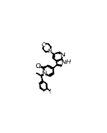 CC(c1cccc(I)c1)n1ccc(-c2c[nH]c3ncc(N4CCOCC4)cc23)cc1=O